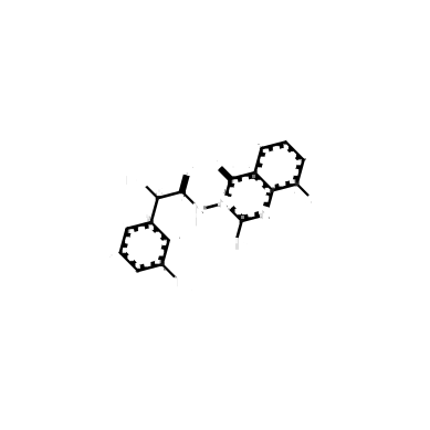 CC(C)c1nc2c(Cl)cccc2c(=O)n1NC(=O)C(C)c1cccc(F)c1